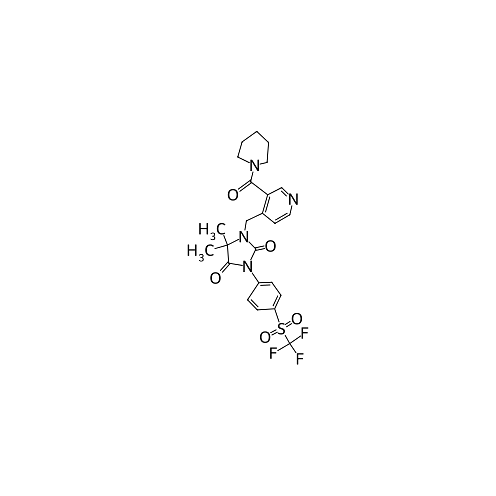 CC1(C)C(=O)N(c2ccc(S(=O)(=O)C(F)(F)F)cc2)C(=O)N1Cc1ccncc1C(=O)N1CCCCC1